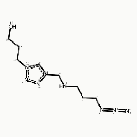 [N-]=[N+]=NCCCNCc1cn(CCCO)nn1